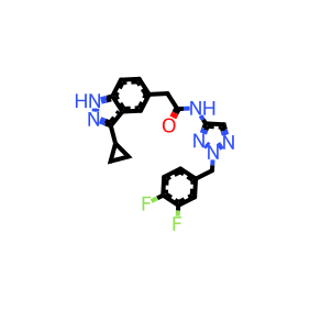 O=C(Cc1ccc2[nH]nc(C3CC3)c2c1)Nc1cnn(Cc2ccc(F)c(F)c2)n1